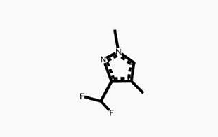 Cc1cn(C)nc1C(F)F